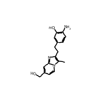 Cc1c(CCc2ccc(N)c(O)c2)nc2cc(CO)ccn12